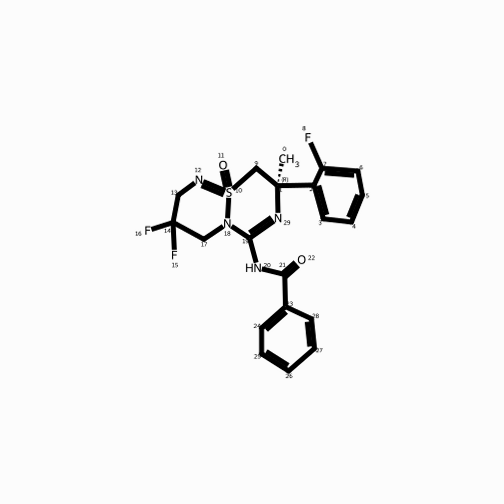 C[C@@]1(c2ccccc2F)CS2(=O)=NCC(F)(F)CN2C(NC(=O)c2ccccc2)=N1